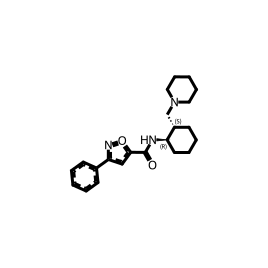 O=C(N[C@@H]1CCCC[C@H]1CN1CCCCC1)c1cc(-c2ccccc2)no1